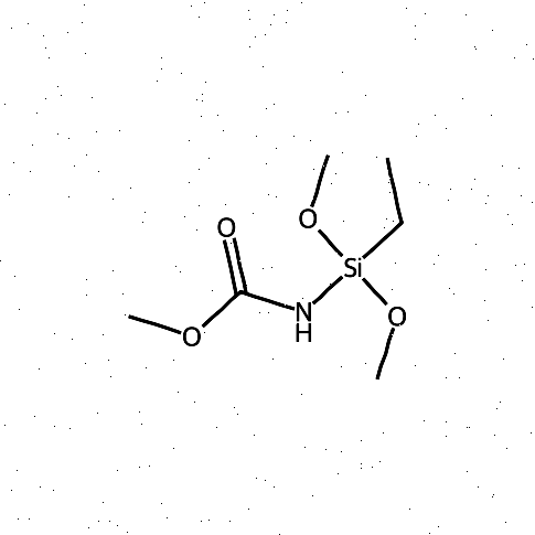 CC[Si](NC(=O)OC)(OC)OC